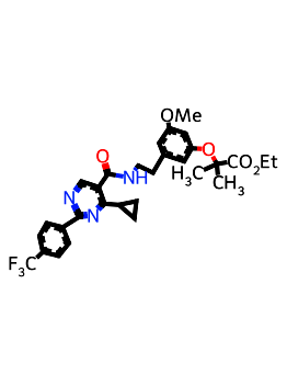 CCOC(=O)C(C)(C)Oc1cc(CCNC(=O)c2cnc(-c3ccc(C(F)(F)F)cc3)nc2C2CC2)cc(OC)c1